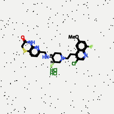 COc1cc(F)c2ncc(Cl)c(CCN3CC[C@@H](NCc4ccc5c(n4)NC(=O)CS5)[C@@H](F)C3)c2c1.Cl.Cl